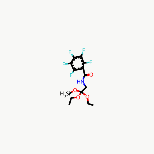 CCOC(CNC(=O)c1c(F)c(F)c(F)c(F)c1F)(O[SiH3])OCC